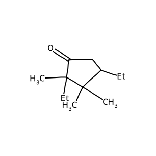 CCC1CC(=O)C(C)(CC)C1(C)C